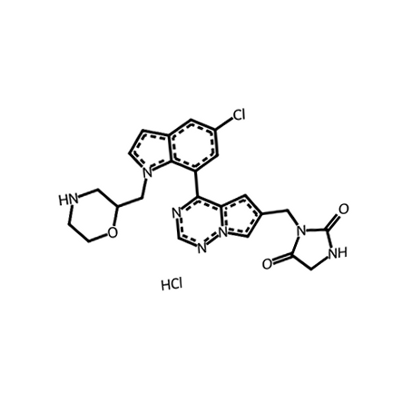 Cl.O=C1CNC(=O)N1Cc1cc2c(-c3cc(Cl)cc4ccn(CC5CNCCO5)c34)ncnn2c1